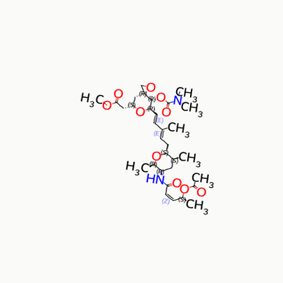 COC(=O)C[C@@H]1C[C@@]2(CO2)[C@H](OC(=O)N(C)C)[C@@H](/C=C/C(C)=C/C[C@@H]2O[C@H](C)[C@H](NC(=O)/C=C\[C@H](C)OC(C)=O)C[C@@H]2C)O1